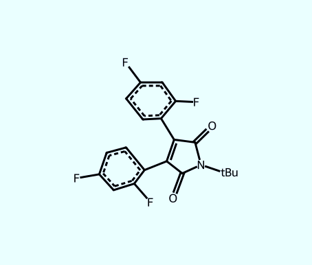 CC(C)(C)N1C(=O)C(c2ccc(F)cc2F)=C(c2ccc(F)cc2F)C1=O